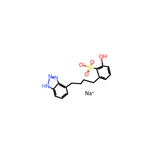 O=S(=O)([O-])c1c(O)cccc1CCCCc1cccc2[nH]nnc12.[Na+]